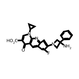 NC1(c2ccccc2)CN(c2cc3nc4c(cc3cc2F)c(=O)c(C(=O)O)cn4C2CC2)C1